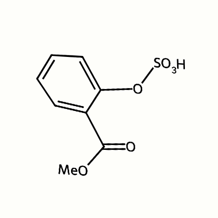 COC(=O)c1ccccc1OS(=O)(=O)O